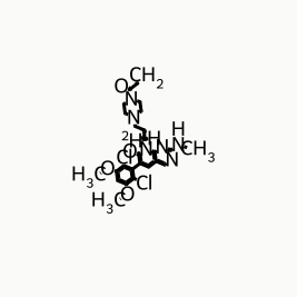 [2H]C([2H])(CCN1CCN(C(=O)C=C)CC1)n1c(=O)c(-c2c(Cl)c(OC)cc(OC)c2Cl)cc2cnc(NC)nc21